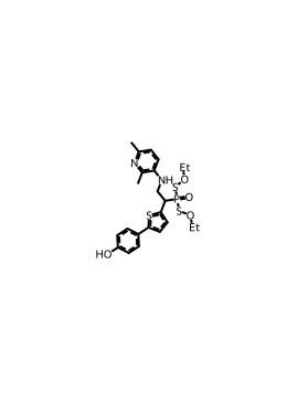 CCOSP(=O)(SOCC)C(CNc1ccc(C)nc1C)c1ccc(-c2ccc(O)cc2)s1